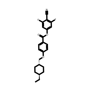 CC[C@H]1CC[C@H](COc2ccc(C(=O)Oc3cc(F)c(C#N)c(F)c3)cc2)CC1